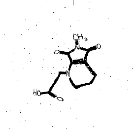 CN1C(=O)C2=C(C1=O)N(CC(=O)O)CCC2